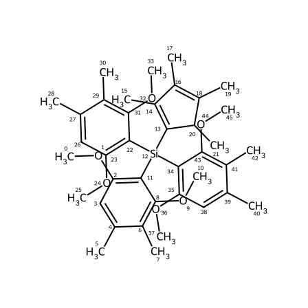 COc1cc(C)c(C)c(OC)c1[Si](C1=C(C)C(C)=C(C)C1C)(c1c(OC)cc(C)c(C)c1OC)c1c(OC)cc(C)c(C)c1OC